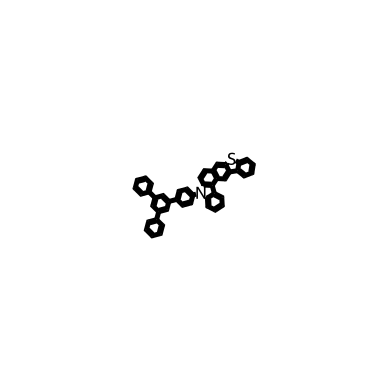 c1ccc(-c2cc(-c3ccccc3)cc(-c3ccc(-n4c5ccccc5c5c6cc7c(cc6ccc54)sc4ccccc47)cc3)c2)cc1